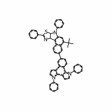 CC(C)(C)c1cc2c(c3ccc(-c4ccc5c(c4)c4ccn(-c6ccccc6)c4c4ccn(-c6ccccc6)c54)cc13)C1N=C(c3ccccc3)SC1N2c1ccccc1